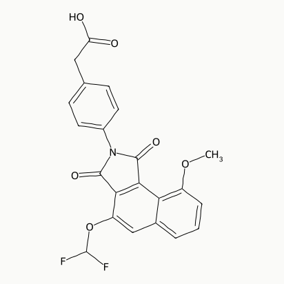 COc1cccc2cc(OC(F)F)c3c(c12)C(=O)N(c1ccc(CC(=O)O)cc1)C3=O